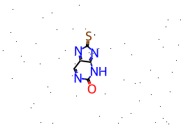 O=c1ncc2c([nH]1)=NC(=S)N=2